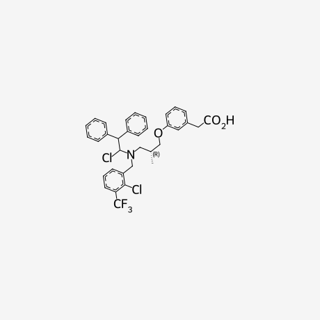 C[C@@H](COc1cccc(CC(=O)O)c1)CN(Cc1cccc(C(F)(F)F)c1Cl)C(Cl)C(c1ccccc1)c1ccccc1